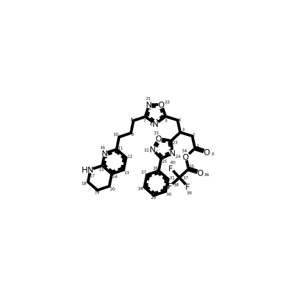 O=C(CC(Cc1nc(CCCc2ccc3c(n2)NCCC3)no1)c1nc(-c2ccccc2)no1)OC(=O)C(F)(F)F